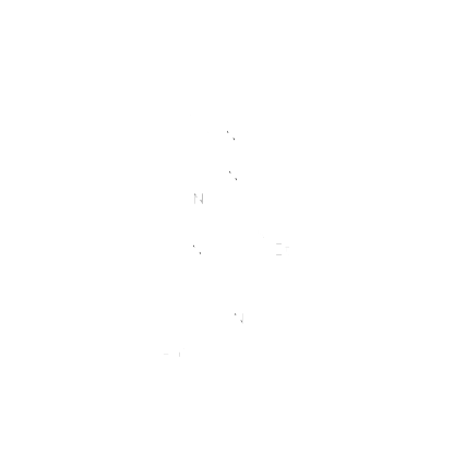 CCSc1cc(-c2cc(C(F)(F)F)ccn2)cnc1-c1cn2cnc(SC(F)(F)F)cc2n1